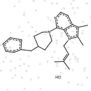 CC(C)=CCn1c(C)c(C)c2ccnc(N3CCC(Cc4ccccc4)CC3)c21.Cl